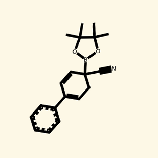 CC1(C)OB(C2(C#N)C=CC(c3ccccc3)=CC2)OC1(C)C